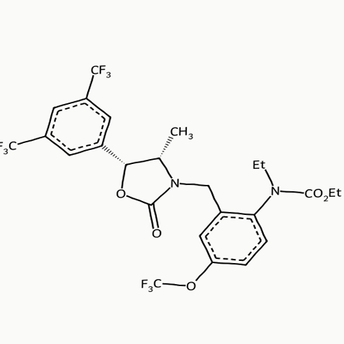 CCOC(=O)N(CC)c1ccc(OC(F)(F)F)cc1CN1C(=O)O[C@H](c2cc(C(F)(F)F)cc(C(F)(F)F)c2)[C@@H]1C